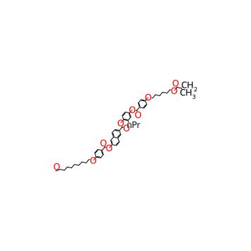 C=C(C)C(=O)OCCCCCCOc1ccc(C(=O)Oc2ccc(OC(=O)c3ccc4cc(OC(=O)c5ccc(OCCCCCCCCC6CO6)cc5)ccc4c3)c(CCC)c2)cc1